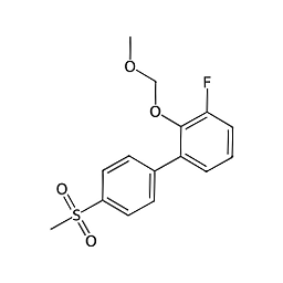 COCOc1c(F)cccc1-c1ccc(S(C)(=O)=O)cc1